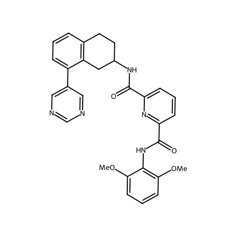 COc1cccc(OC)c1NC(=O)c1cccc(C(=O)NC2CCc3cccc(-c4cncnc4)c3C2)n1